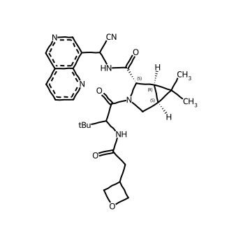 CC(C)(C)C(NC(=O)CC1COC1)C(=O)N1C[C@H]2[C@@H]([C@H]1C(=O)NC(C#N)c1cncc3cccnc13)C2(C)C